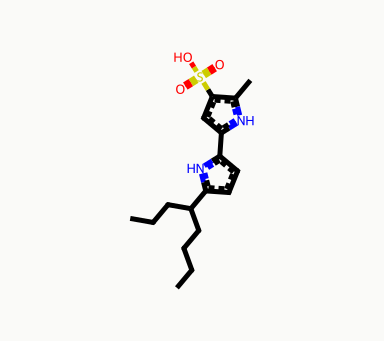 CCCCC(CCC)c1ccc(-c2cc(S(=O)(=O)O)c(C)[nH]2)[nH]1